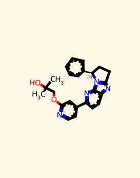 CC(C)(O)COc1cc(-c2ccc3nc4n(c3n2)[C@@H](c2ccccc2)CC4)ccn1